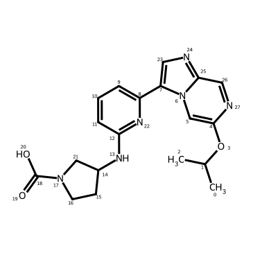 CC(C)Oc1cn2c(-c3cccc(NC4CCN(C(=O)O)C4)n3)cnc2cn1